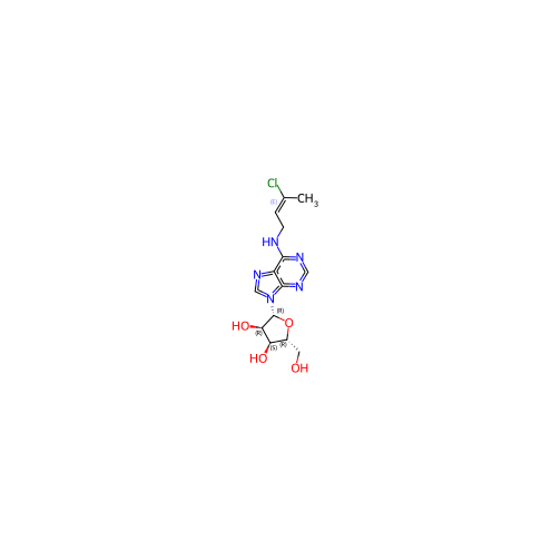 C/C(Cl)=C\CNc1ncnc2c1ncn2[C@@H]1O[C@H](CO)[C@@H](O)[C@H]1O